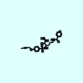 CC#CCOc1ccc(S(=O)(=O)NC(CCCNC(=O)c2ccncc2)C(=O)NO)cc1